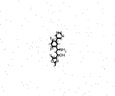 Cc1nc(C(O)CC(N)c2cc(-c3cncnc3)c(F)cc2F)c(C)o1